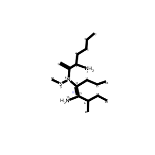 C=C(C(N)CCCC)N(SC)/C(CCC)=C(\N)C(C)CC